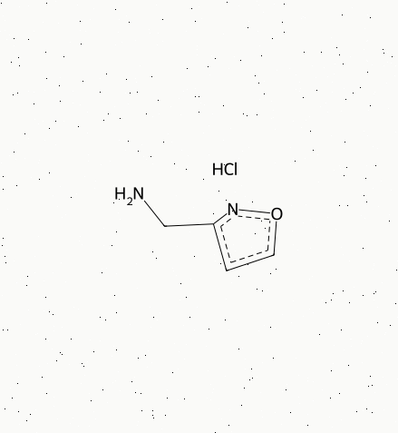 Cl.NCc1ccon1